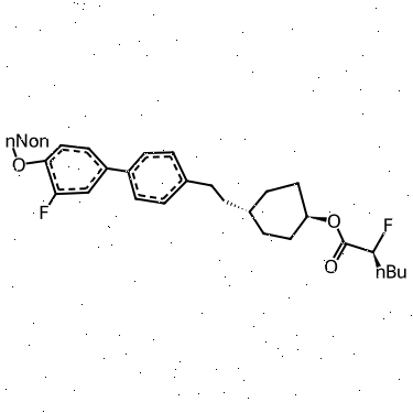 CCCCCCCCCOc1ccc(-c2ccc(CC[C@H]3CC[C@H](OC(=O)[C@@H](F)CCCC)CC3)cc2)cc1F